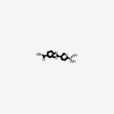 CCCCC(=O)c1ccc2nc(-c3ccc(N(CCC)CCC)nc3)sc2c1